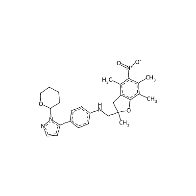 Cc1c(C)c([N+](=O)[O-])c(C)c2c1OC(C)(CNc1ccc(-c3ccnn3C3CCCCO3)cc1)C2